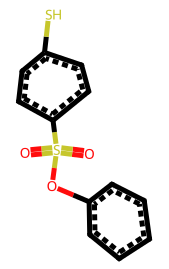 O=S(=O)(Oc1ccccc1)c1ccc(S)cc1